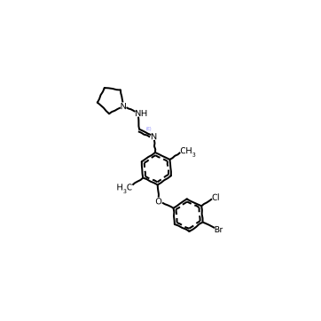 Cc1cc(Oc2ccc(Br)c(Cl)c2)c(C)cc1/N=C/NN1CCCC1